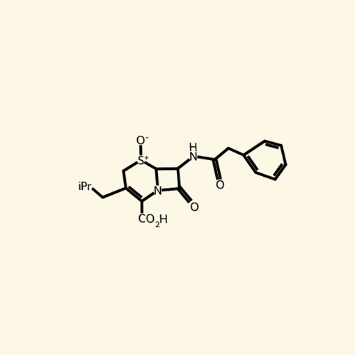 CC(C)CC1=C(C(=O)O)N2C(=O)C(NC(=O)Cc3ccccc3)C2[S+]([O-])C1